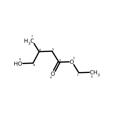 CCOC(=O)CC(C)CO